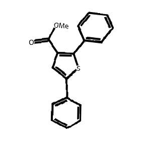 COC(=O)c1cc(-c2ccccc2)sc1-c1ccccc1